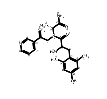 C=C(CN(C(=O)C(N)Cc1c(C)cc(O)cc1C)[C@H](C)C(N)=O)c1cccnc1